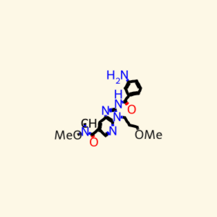 COCCCn1c(NC(=O)c2cccc(N)c2)nc2cc(C(=O)N(C)OC)cnc21